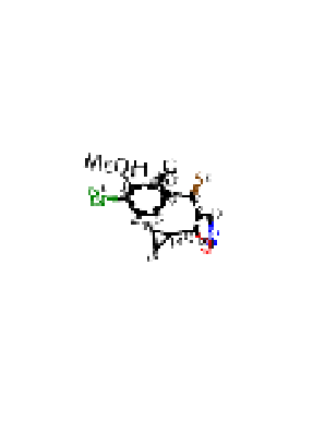 COc1c(Br)ccc(C(=S)c2cnoc2C2CC2)c1C